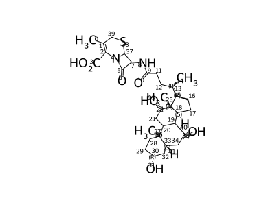 CC1=C(C(=O)O)N2C(=O)C(NC(=O)CC[C@@H](C)[C@H]3CC[C@H]4C5C(C[C@H](O)[C@]34C)[C@@]3(C)CC[C@@H](O)C[C@H]3C[C@H]5O)C2SC1